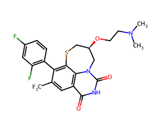 CN(C)CCO[C@@H]1CSc2c(-c3ccc(F)cc3F)c(C(F)(F)F)cc3c(=O)[nH]c(=O)n(c23)C1